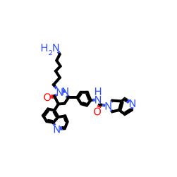 NCCCCCCN1N=C(c2ccc(NC(=O)N3Cc4ccncc4C3)cc2)CC(c2cccc3ncccc23)C1=O